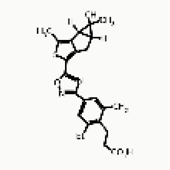 CCc1cc(-c2noc(-c3sc(C)c4c3C[C@@H]3[C@H]4C3(C)C)n2)cc(C)c1CCC(=O)O